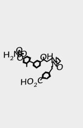 Cc1cc(OS(N)(=O)=O)ccc1-c1cccc(C(O)CCN2CCC(=O)N2CCc2ccc(C(=O)O)cc2)c1